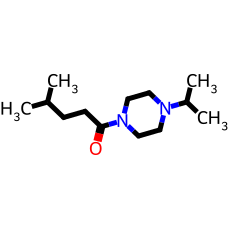 CC(C)CCC(=O)N1CCN(C(C)C)CC1